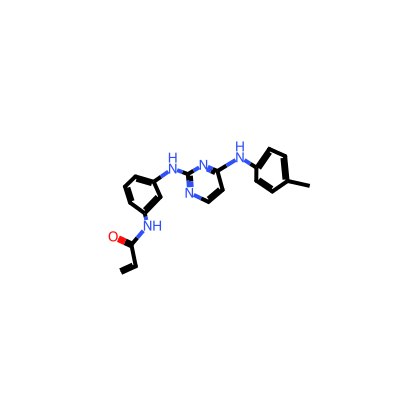 C=CC(=O)Nc1cccc(Nc2nccc(Nc3ccc(C)cc3)n2)c1